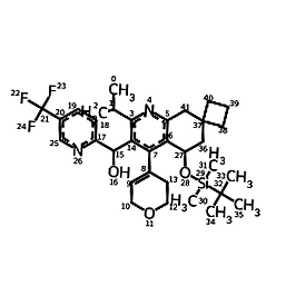 CC(C)c1nc2c(c(C3=CCOCC3)c1C(O)c1ccc(C(F)(F)F)cn1)C(O[Si](C)(C)C(C)(C)C)CC1(CCC1)C2